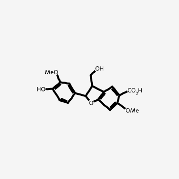 COc1cc(C2Oc3cc(OC)c(C(=O)O)cc3C2CO)ccc1O